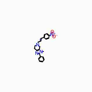 Cn1c(-c2ccccc2)nc2c1CN(C/C=C/c1ccc([N+](=O)[O-])cc1)CC2